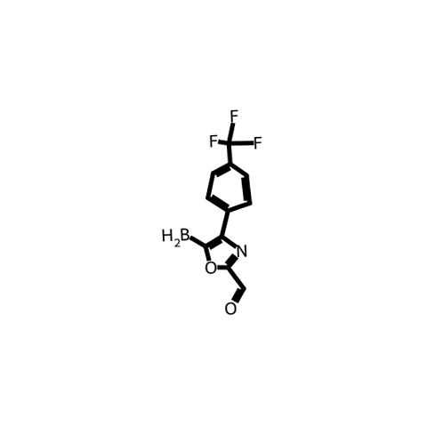 Bc1oc(C=O)nc1-c1ccc(C(F)(F)F)cc1